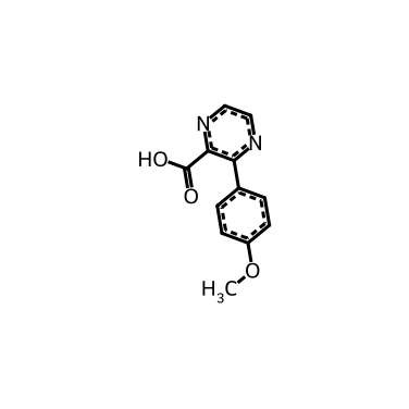 COc1ccc(-c2nccnc2C(=O)O)cc1